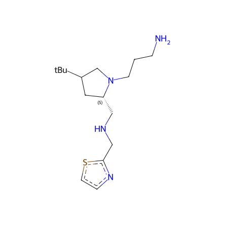 CC(C)(C)C1C[C@@H](CNCc2nccs2)N(CCCN)C1